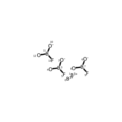 [B+3].[B+3].[O-]B([O-])F.[O-]B([O-])F.[O-]B([O-])F